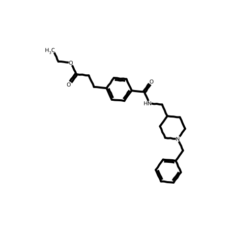 CCOC(=O)CCc1ccc(C(=O)NCC2CCN(Cc3ccccc3)CC2)cc1